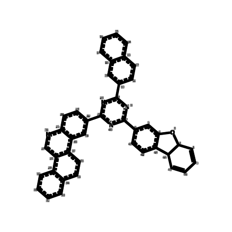 C1=CC2Oc3cc(-c4nc(-c5ccc6ccccc6c5)nc(-c5ccc6ncc7c8ccccc8ccc7c6c5)n4)ccc3C2C=C1